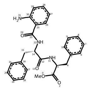 COC(=O)[C@H](Cc1ccccc1)NC(=O)[C@H](Cc1ccccc1)NC(=O)c1ccccc1N